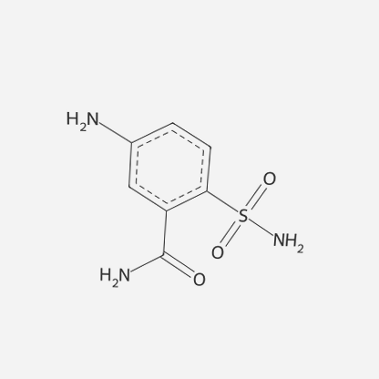 NC(=O)c1cc(N)ccc1S(N)(=O)=O